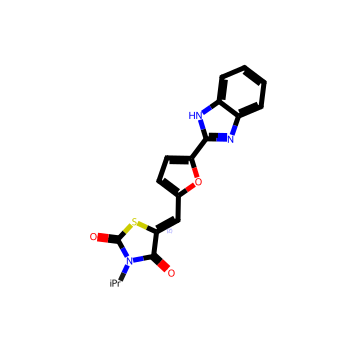 CC(C)N1C(=O)S/C(=C\c2ccc(-c3nc4ccccc4[nH]3)o2)C1=O